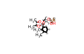 CCO[Si](OCC)(OCC)c1cccc(C)c1C.O=[SH](O)=S